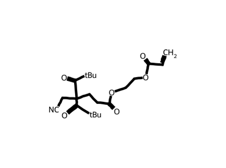 C=CC(=O)OCCOC(=O)CCC(CC#N)(C(=O)C(C)(C)C)C(=O)C(C)(C)C